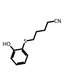 N#CCCCCSc1ccccc1O